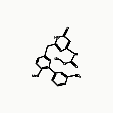 COc1ccc(Cc2cc(NC(=O)OC(C)(C)C)cc(=O)[nH]2)cc1-c1cccc([N+](=O)[O-])c1